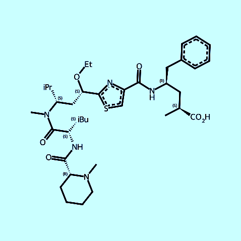 CCO[C@@H](C[C@@H](C(C)C)N(C)C(=O)[C@@H](NC(=O)[C@H]1CCCCN1C)[C@@H](C)CC)c1nc(C(=O)N[C@@H](Cc2ccccc2)C[C@H](C)C(=O)O)cs1